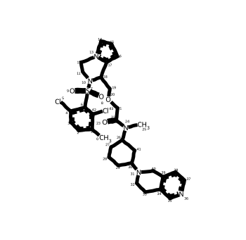 Cc1ccc(Cl)c(S(=O)(=O)N2CCn3cccc3C2COCC(=O)N(C)C2CCCC(N3CCc4cnccc4C3)C2)c1Cl